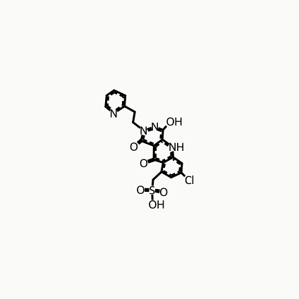 O=c1c2c(CS(=O)(=O)O)cc(Cl)cc2[nH]c2c(O)nn(CCc3ccccn3)c(=O)c12